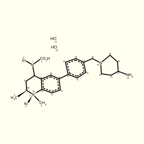 CCN(C(=O)O)C1C[C@H](C)[N@+](C)(C(C)=O)c2ccc(-c3ccc(CN4CCC(N)CC4)cc3)cc21.Cl.Cl